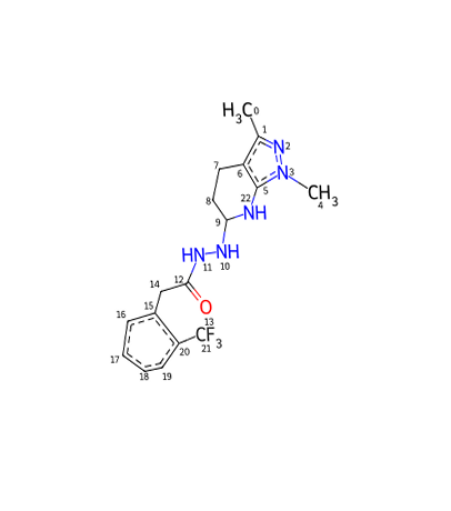 Cc1nn(C)c2c1CCC(NNC(=O)Cc1ccccc1C(F)(F)F)N2